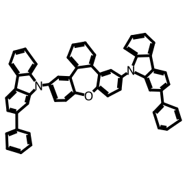 c1ccc(-c2ccc3c4ccccc4n(-c4ccc5c(c4)-c4ccccc4-c4cc(-n6c7ccccc7c7ccc(-c8ccccc8)cc76)ccc4O5)c3c2)cc1